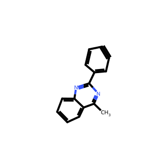 Cc1nc(-c2cc#ccc2)nc2ccccc12